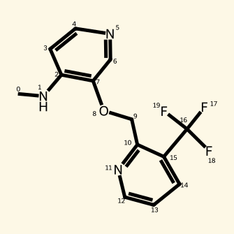 CNc1ccncc1OCc1ncccc1C(F)(F)F